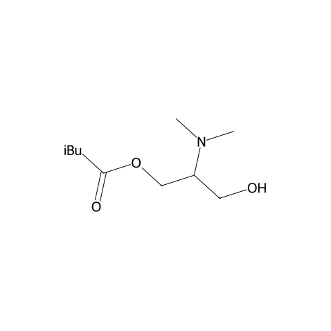 CCC(C)C(=O)OCC(CO)N(C)C